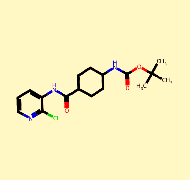 CC(C)(C)OC(=O)NC1CCC(C(=O)Nc2cccnc2Cl)CC1